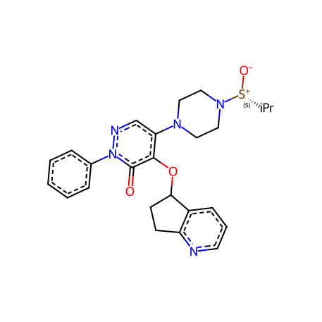 CC(C)[S@@+]([O-])N1CCN(c2cnn(-c3ccccc3)c(=O)c2OC2CCc3ncccc32)CC1